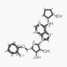 O[C@@H]1[C@H](O)[C@H](n2cnc3c(N[C@H]4CCC[C@@H]4O)ncnc32)O[C@@H]1COc1ccccc1F